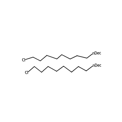 CCCCCCCCCCCCCCCCCCCl.CCCCCCCCCCCCCCCCCCCl